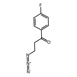 [N-]=[N+]=NCCC(=O)c1ccc(F)cc1